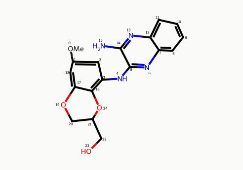 COc1cc(Nc2nc3ccccc3nc2N)c2c(c1)OCC(CO)O2